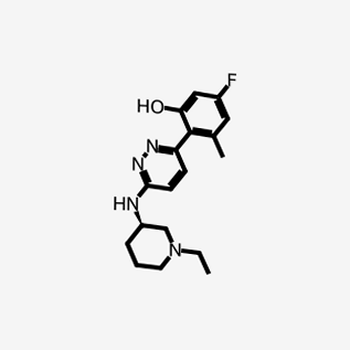 CCN1CCC[C@@H](Nc2ccc(-c3c(C)cc(F)cc3O)nn2)C1